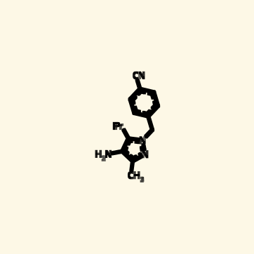 Cc1nn(Cc2ccc(C#N)cc2)c(C(C)C)c1N